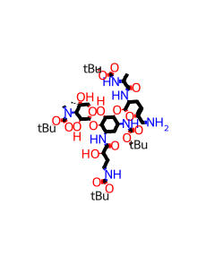 CC(NC(=O)OC(C)(C)C)C(=O)N[C@@H]1CC=C(CN)O[C@@H]1O[C@H]1[C@H](O)[C@@H](O[C@H]2OC[C@](C)(O)[C@H](N(C)C(=O)OC(C)(C)C)[C@H]2O)[C@H](NC(=O)[C@@H](O)CCNC(=O)OC(C)(C)C)C[C@@H]1NC(=O)OC(C)(C)C